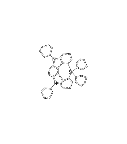 c1ccc(-n2c3cccc4c3c3c5c6c(cccc6n(-c6ccccc6)c5ccc32)[Si]4(c2ccccc2)c2ccccc2)cc1